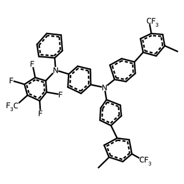 Cc1cc(-c2ccc(N(c3ccc(-c4cc(C)cc(C(F)(F)F)c4)cc3)c3ccc(N(c4ccccc4)c4c(F)c(F)c(C(F)(F)F)c(F)c4F)cc3)cc2)cc(C(F)(F)F)c1